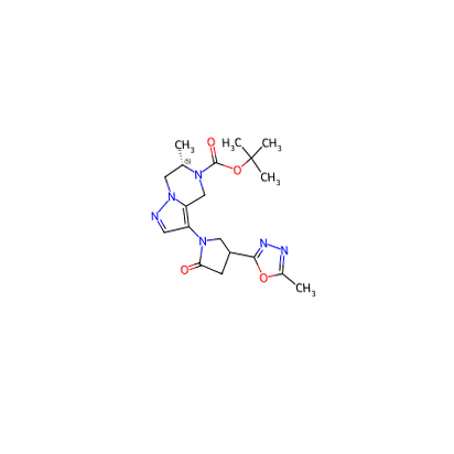 Cc1nnc(C2CC(=O)N(c3cnn4c3CN(C(=O)OC(C)(C)C)[C@@H](C)C4)C2)o1